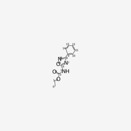 CCOC(=O)Nc1nc(-c2ccccc2)no1